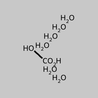 O.O.O.O.O.O.O=C(O)O